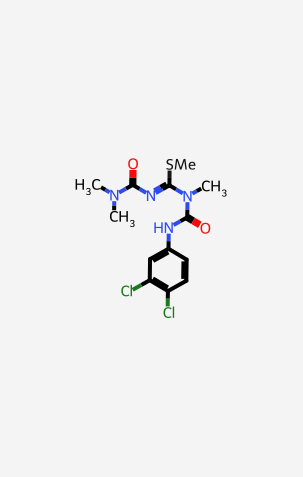 CSC(=NC(=O)N(C)C)N(C)C(=O)Nc1ccc(Cl)c(Cl)c1